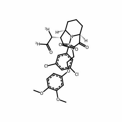 [2H]C(=O)C([2H])[C@H]1CN(CCOc2ccc(OC)c(OC)c2)C(=O)[C@@H]2CCC[C@H]1N2S(=O)(=O)c1cc(Cl)cc(Cl)c1